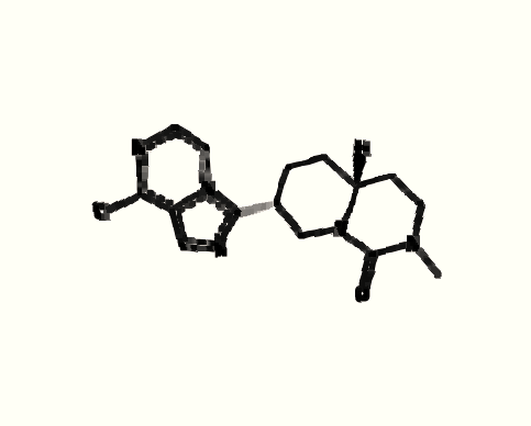 CN1CC[C@H]2CC[C@@H](c3ncc4c(Cl)nccn34)CN2C1=O